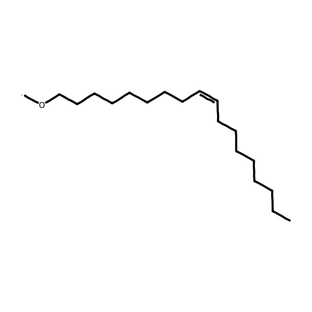 [CH2]OCCCCCCCC/C=C\CCCCCCCC